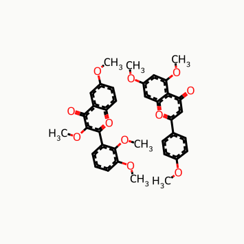 COc1ccc(-c2cc(=O)c3c(OC)cc(OC)cc3o2)cc1.COc1ccc2oc(-c3cccc(OC)c3OC)c(OC)c(=O)c2c1